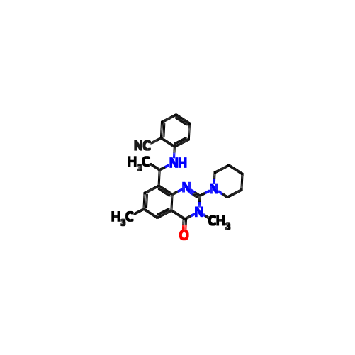 Cc1cc(C(C)Nc2ccccc2C#N)c2nc(N3CCCCC3)n(C)c(=O)c2c1